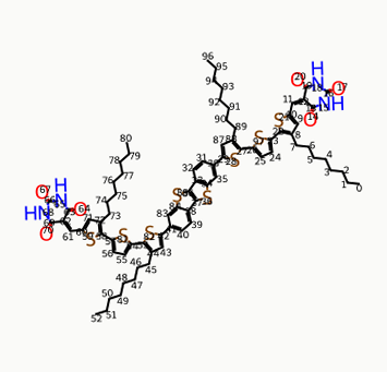 CCCCCCCCc1cc(C=C2C(=O)NC(=O)NC2=O)sc1-c1ccc(-c2sc(-c3ccc4c(c3)sc3c5ccc(-c6cc(CCCCCCCC)c(-c7ccc(-c8sc(C=C9C(=O)NC(=O)NC9=O)cc8CCCCCCCC)s7)s6)cc5sc43)cc2CCCCCCCC)s1